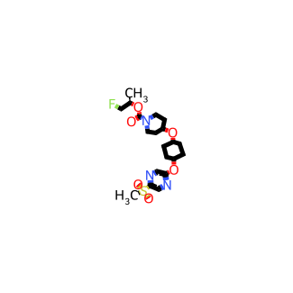 C[C@@H](CF)OC(=O)N1CCC(OC2CCC(Oc3cnc(S(C)(=O)=O)cn3)CC2)CC1